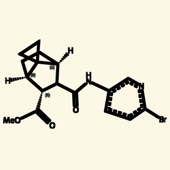 COC(=O)[C@H]1C(C(=O)Nc2ccc(Br)nc2)[C@@H]2CC[C@H]1C21CC1